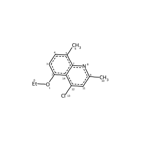 CCOc1ccc(C)c2nc(C)cc(Cl)c12